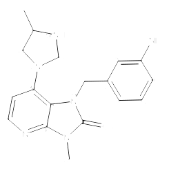 CC1CN(c2ccnc3c2n(Cc2cccc(N)c2)c(=O)n3C)CN1